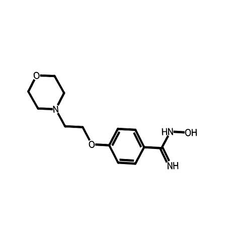 N=C(NO)c1ccc(OCCN2CCOCC2)cc1